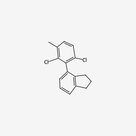 Cc1ccc(Cl)c(-c2cccc3c2CCC3)c1Cl